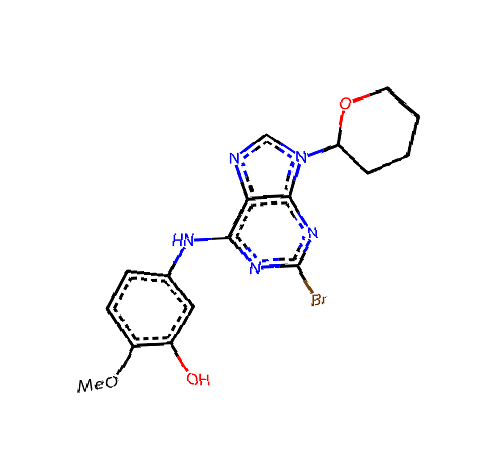 COc1ccc(Nc2nc(Br)nc3c2ncn3C2CCCCO2)cc1O